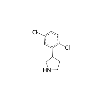 Clc1ccc(Cl)c(C2CCNC2)c1